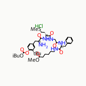 COC(=O)CCCCCNC(=O)[C@H](Cc1ccccc1)NC(=O)CNC(=O)[C@@H](CCSC)NC(=O)[C@@H](N)Cc1ccc(OC(=O)OCC(C)C)c(C(C)(C)C)c1.Cl